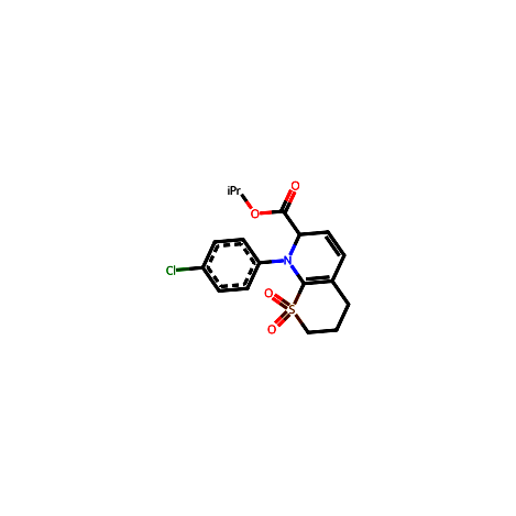 CC(C)OC(=O)C1C=CC2=C(N1c1ccc(Cl)cc1)S(=O)(=O)CCC2